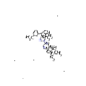 C=C/C=C(\C=C/N(C)C(CC)c1cccc(C)c1)C(/C=C\N=C)=N/CNC(CC)CC